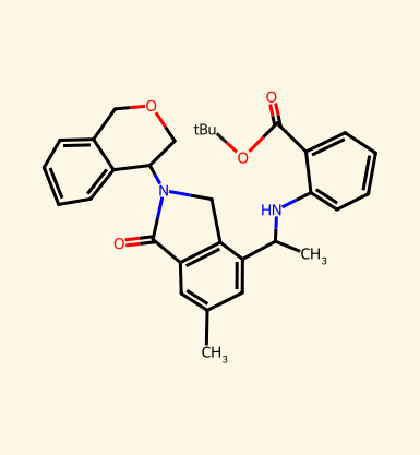 Cc1cc2c(c(C(C)Nc3ccccc3C(=O)OC(C)(C)C)c1)CN(C1COCc3ccccc31)C2=O